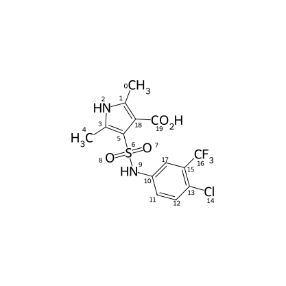 Cc1[nH]c(C)c(S(=O)(=O)Nc2ccc(Cl)c(C(F)(F)F)c2)c1C(=O)O